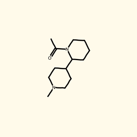 CC(=O)N1CCCCC1C1CCN(C)CC1